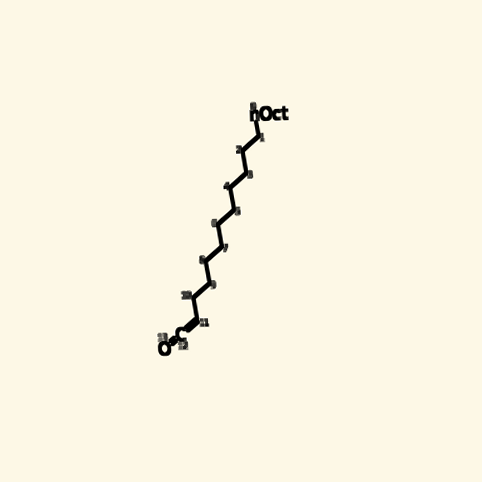 CCCCCCCCCCCCCCCCCCC=C=O